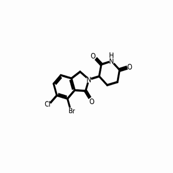 O=C1CCC(N2Cc3ccc(Cl)c(Br)c3C2=O)C(=O)N1